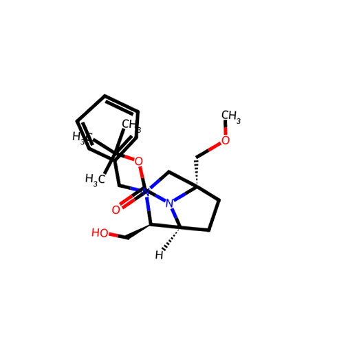 COC[C@@]12CC[C@@H]([C@@H](CO)N(Cc3ccccc3)C1)N2C(=O)OC(C)(C)C